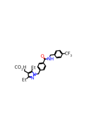 CCc1nn(Cc2ccc(C(=O)NCc3ccc(C(F)(F)F)cc3)cc2)c(CC)c1CC(=O)O